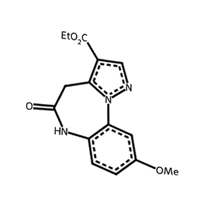 CCOC(=O)c1cnn2c1CC(=O)Nc1ccc(OC)cc1-2